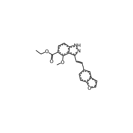 CCOC(=O)c1ccc2[nH]nc(C=Cc3ccc4occc4c3)c2c1OC